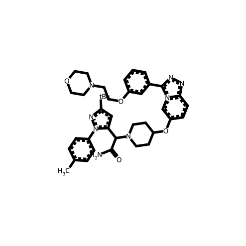 Cc1ccc(-n2nc(C(C)(C)C)cc2C(C(N)=O)N2CCC(Oc3ccc4nnc(-c5cccc(OCCN6CCOCC6)c5)n4c3)CC2)cc1